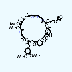 CO[C@@H]1/C(C)=C/[C@@H](C)C(=O)C[C@@H]([C@H](C)C[C@@H]2CC[C@@H](OC)[C@H](OC)C2)OC(=O)[C@@H]2CCCCN2C(=O)C(=O)[C@]2(O)O[C@@H](CC[C@H]2C)C[C@H](OCCOC2COC2)/C(C)=C/C=C/C=C/[C@@H](C)C[C@@H](C)C(=O)[C@@H]1OC